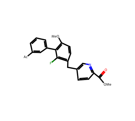 COC(=O)c1ccc(Cc2ccc(OC)c(-c3cccc(C(C)=O)c3)c2F)cn1